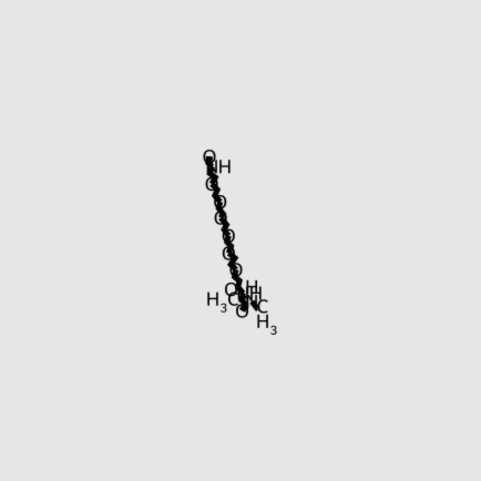 CCNC(=O)C(C)NC(=O)CCOCCOCCOCCOCCOCCOCCNC=O